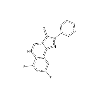 O=c1c2c[nH]c3c(F)cc(F)cc3c-2nn1-c1ccccc1